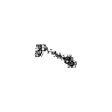 C=CC(OCCCCCCCCCCCCOC(C=C)c1ccccc1)c1ccccc1